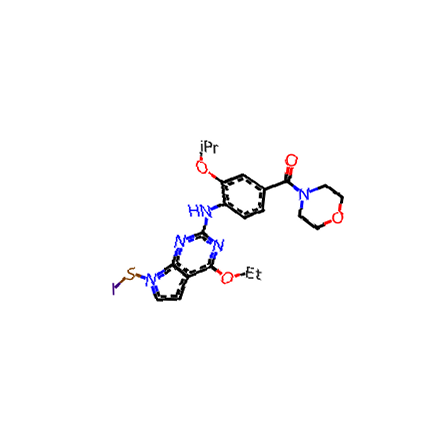 CCOc1nc(Nc2ccc(C(=O)N3CCOCC3)cc2OC(C)C)nc2c1ccn2SI